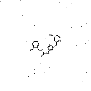 CC(=O)c1ccnc(Cn2cc(NC(=O)OCc3ccccc3Cl)cn2)c1